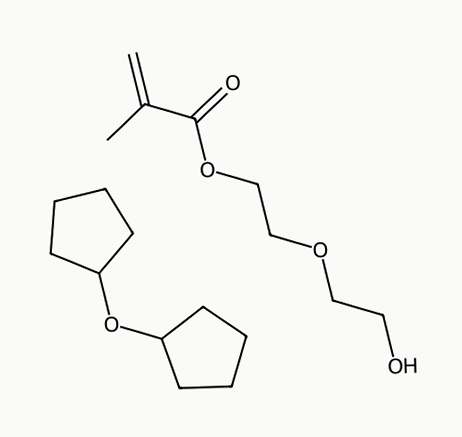 C1CCC(OC2CCCC2)C1.C=C(C)C(=O)OCCOCCO